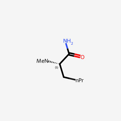 CCCC[C@H](NC)C(N)=O